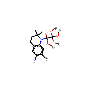 CCOC(OCC)(OCC)C(O)(OCC)N1c2cc(C(C)C)c(N)cc2CCC1(C)C